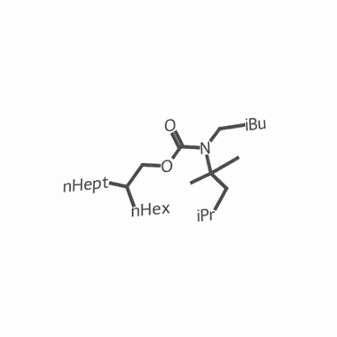 CCCCCCCC(CCCCCC)COC(=O)N(CC(C)CC)C(C)(C)CC(C)C